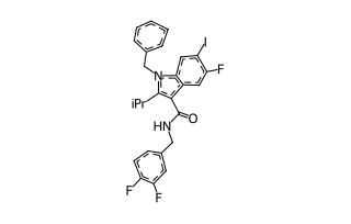 CC(C)c1c(C(=O)NCc2ccc(F)c(F)c2)c2cc(F)c(I)cc2n1Cc1ccccc1